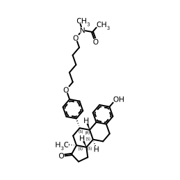 CC(=O)N(C)OCCCCCOc1ccc([C@H]2C[C@]3(C)C(=O)CC[C@H]3[C@@H]3CCc4cc(O)ccc4[C@H]32)cc1